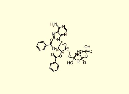 Nc1ncnc2c1ncn2[C@@H]1O[C@H](COP(=O)(O)OP(=O)(O)OP(=O)(O)O)[C@@H](OC(=O)c2ccccc2)[C@H]1OC(=O)c1ccccc1